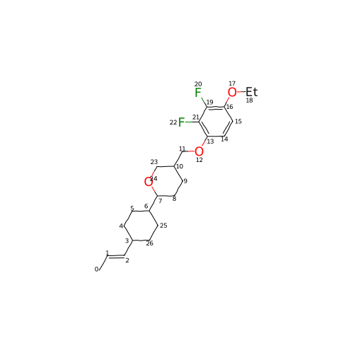 C/C=C/C1CCC(C2CCC(COc3ccc(OCC)c(F)c3F)CO2)CC1